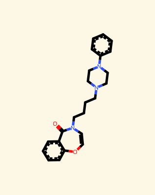 O=C1c2ccccc2OC=CN1CCCCN1CCN(c2ccccc2)CC1